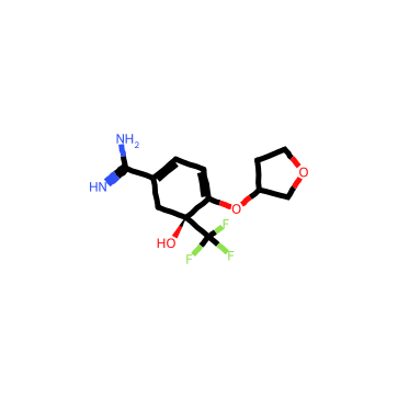 N=C(N)C1=CC=C(OC2CCOC2)[C@](O)(C(F)(F)F)C1